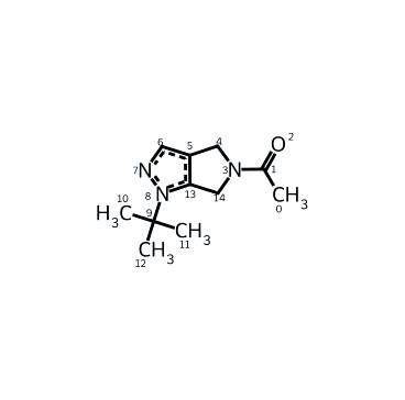 CC(=O)N1Cc2cnn(C(C)(C)C)c2C1